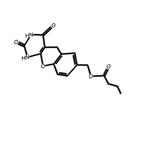 CCCC(=O)OCc1ccc2c(c1)Cc1c([nH]c(=O)[nH]c1=O)O2